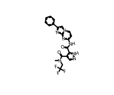 CN(CC(F)(F)F)C(=O)c1cn[nH]c1C(=O)Nc1ccn2cc(-c3ccccc3)nc2n1